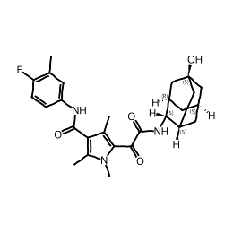 Cc1cc(NC(=O)c2c(C)c(C(=O)C(=O)N[C@@H]3[C@@H]4C[C@@H]5C[C@H]3C[C@@](O)(C5)C4)n(C)c2C)ccc1F